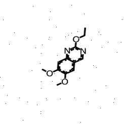 CCOc1ncc2cc(OC)c(OC)cc2n1